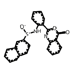 O=c1oc(-c2ccccc2N[S+]([O-])c2ccc3ccccc3c2)nc2ccccc12